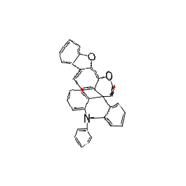 c1ccc(N2c3ccccc3C3(c4ccccc4Oc4c3ccc3c4oc4ccccc43)c3ccccc32)cc1